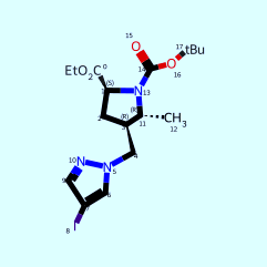 CCOC(=O)[C@@H]1C[C@H](Cn2cc(I)cn2)[C@@H](C)N1C(=O)OC(C)(C)C